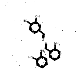 Nc1ccccc1C=O.Nc1ccccc1O.O=Cc1ccc(O)c(O)c1